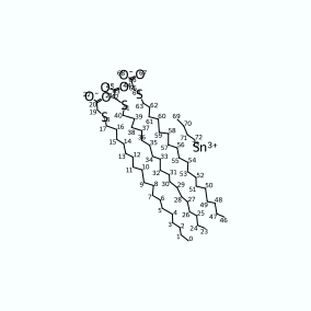 CCCCCCCCCCCCCCCCCCSCC(=O)[O-].CCCCCCCCCCCCCCCCCCSCC(=O)[O-].CCCCCCCCCCCCCCCCCCSCC(=O)[O-].CCC[CH2][Sn+3]